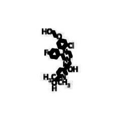 CC(C)(O)c1ccc([C@@](O)(I)CN2CCN(c3ccc(OCCO)cc3Cl)[C@H](c3ccc(F)cc3)C2)cn1